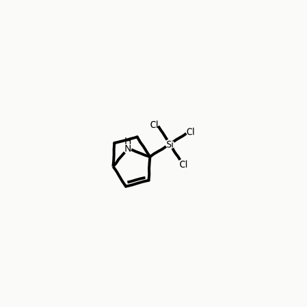 Cl[Si](Cl)(Cl)C12C=CC(CC1)N2